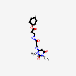 Cn1c(NCCC(=O)NCCC(=O)OC2CCCCC2)cc(=O)n(C)c1=O